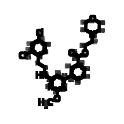 COc1nc(NCCc2ccc(Cl)cc2Cl)cc(-c2cccc(C(=O)OCCN3CCOCC3)c2)n1